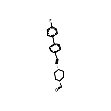 O=C[C@H]1CC[C@H](C#Cc2ccc(-c3ccc(F)cc3)cc2)CC1